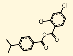 CC(C)c1ccc(C(=O)OC(=O)c2ccc(Cl)cc2Cl)cc1